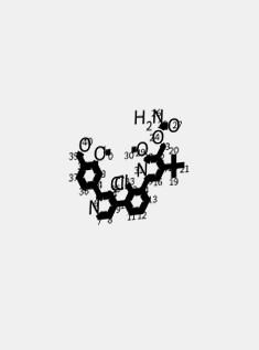 COc1cc(-c2nccc(-c3cccc(-c4cc(C(C)(C)C)c(COC(N)=O)c(OC)n4)c3Cl)c2Cl)ccc1C=O